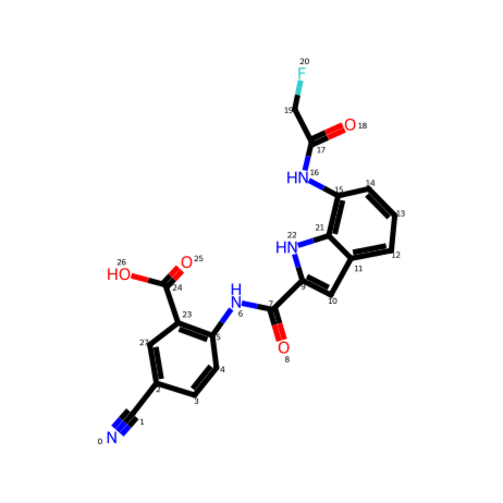 N#Cc1ccc(NC(=O)c2cc3cccc(NC(=O)CF)c3[nH]2)c(C(=O)O)c1